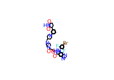 Cn1cnc2c(F)c(Nc3ccc(Br)cc3F)c(C(=O)NOCC(=O)N3CCN(CC4CCN(c5cccc(C6CCC(=O)NC6=O)c5)CC4)CC3)cc21